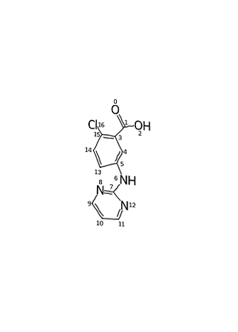 O=C(O)c1cc(Nc2ncccn2)ccc1Cl